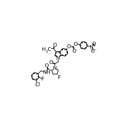 CC(=O)c1cn(CC(=O)N2C[C@H](F)C[C@H]2C(=O)NCc2cccc(Cl)c2F)c2ccc(OC(=O)Oc3ccc([N+](=O)[O-])cc3)cc12